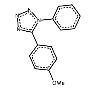 COc1ccc(-c2nnnn2-c2ccccc2)cc1